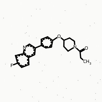 CCC(=O)N1CCC(Oc2ccc(-c3cnc4cc(F)ccc4c3)cc2)CC1